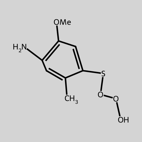 COc1cc(SOOO)c(C)cc1N